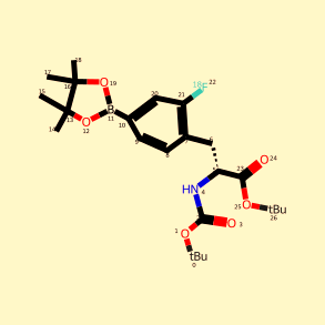 CC(C)(C)OC(=O)N[C@H](Cc1ccc(B2OC(C)(C)C(C)(C)O2)cc1[18F])C(=O)OC(C)(C)C